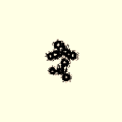 CC1(C)c2ccccc2N2c3cc4ccccc4cc3Cc3c2c1cc1c2ccccc2n(-c2ccc(-c4nc(-c5ccccc5)cc(-c5ccccc5)n4)cc2)c31